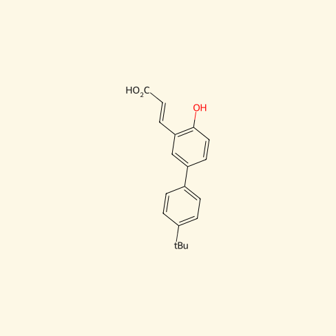 CC(C)(C)c1ccc(-c2ccc(O)c(/C=C/C(=O)O)c2)cc1